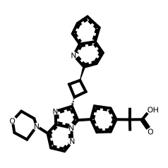 CC(C)(C(=O)O)c1ccc(-c2c([C@H]3C[C@H](c4ccc5ccccc5n4)C3)nc3c(N4CCOCC4)ccnn23)cc1